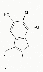 Cc1sc2c(Cl)c(Cl)c(O)cc2c1C